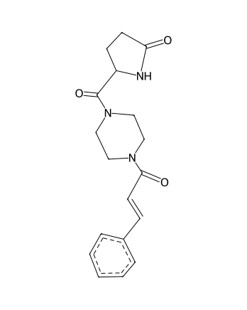 O=C1CCC(C(=O)N2CCN(C(=O)C=Cc3ccccc3)CC2)N1